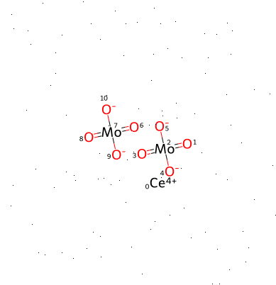 [Ce+4].[O]=[Mo](=[O])([O-])[O-].[O]=[Mo](=[O])([O-])[O-]